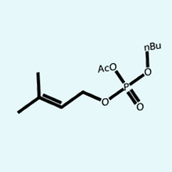 CCCCOP(=O)(OCC=C(C)C)OC(C)=O